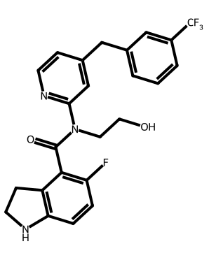 O=C(c1c(F)ccc2c1CCN2)N(CCO)c1cc(Cc2cccc(C(F)(F)F)c2)ccn1